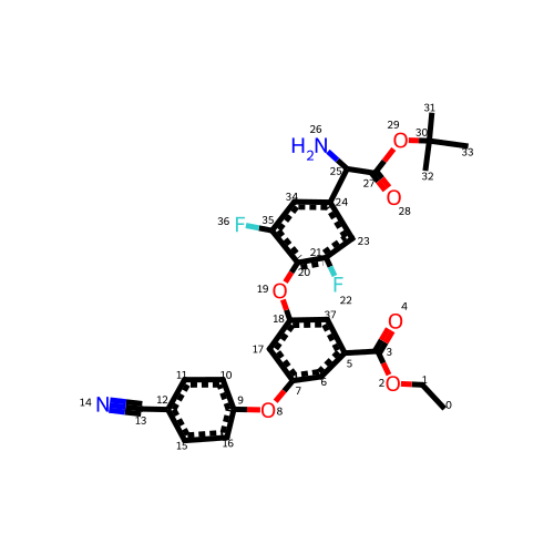 CCOC(=O)c1cc(Oc2ccc(C#N)cc2)cc(Oc2c(F)cc(C(N)C(=O)OC(C)(C)C)cc2F)c1